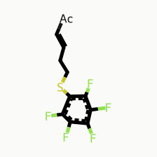 CC(=O)/C=C/CCSc1c(F)c(F)c(F)c(F)c1F